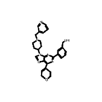 OCc1cccc(-c2nc(C3=CCOCC3)c3ncn(C4CCN(Cc5cccnc5)CC4)c3n2)c1